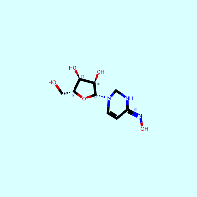 OC[C@H]1O[C@@H](N2C=C/C(=N\O)NC2)[C@H](O)[C@@H]1O